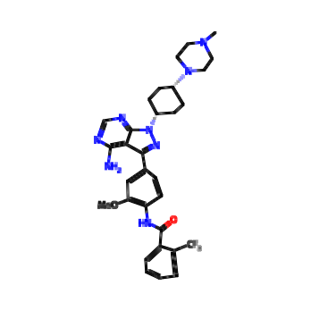 COc1cc(-c2nn([C@H]3CC[C@@H](N4CCN(C)CC4)CC3)c3ncnc(N)c23)ccc1NC(=O)c1ccccc1C(F)(F)F